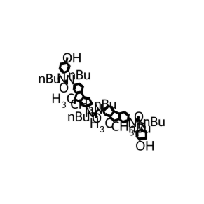 CCCCN(C(=O)N(CCCC)c1ccc2c(c1)C(C)(C)c1cc(N(CCCC)C(=O)N(CCCC)c3ccc4c(c3)C(C)(C)c3cc(N(CCCC)C(=O)N(CCCC)c5ccc(O)cc5)ccc3-4)ccc1-2)c1ccc(O)cc1